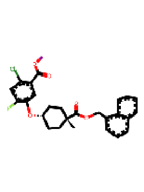 C[C@]1(C(=O)OCc2cccc3ccccc23)CC[C@@H](Oc2cc(C(=O)OI)c(Cl)cc2F)CC1